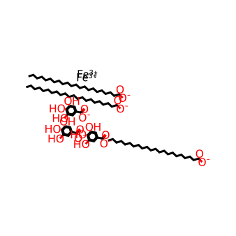 CCCCCCCCCCCCCCCCCCCCCC(=O)[O-].CCCCCCCCCCCCCCCCCCCCCC(=O)[O-].CCCCCCCCCCCCCCCCCCCCCC(=O)[O-].O=C([O-])c1cc(O)c(O)c(O)c1.O=C([O-])c1cc(O)c(O)c(O)c1.O=C([O-])c1cc(O)c(O)c(O)c1.[Fe+3].[Fe+3]